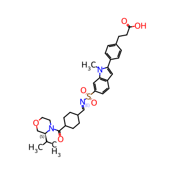 CC(C)[C@H]1COCCN1C(=O)C1CCC(/C=N/S(=O)(=O)c2ccc3cc(-c4ccc(CCC(=O)O)cc4)n(C)c3c2)CC1